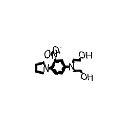 O=[N+]([O-])c1cc(N(CCO)CCO)ccc1N1CCCC1